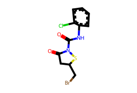 O=C1CC(CBr)SN1C(=O)Nc1ccccc1Cl